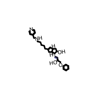 O[C@H](/C=C/[C@@H]1[C@H]2CC(CCCCCNCc3ccncc3)=C[C@H]2C[C@H]1O)COc1ccccc1